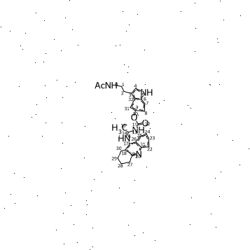 CC(=O)NCCc1c[nH]c2ccc(OC(=O)NC(C)Nc3c4c(nc5ccccc35)CCCC4)cc12